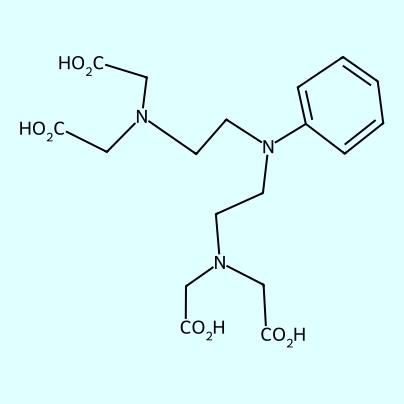 O=C(O)CN(CCN(CCN(CC(=O)O)CC(=O)O)c1ccccc1)CC(=O)O